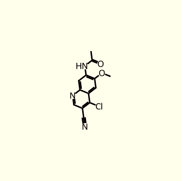 COc1cc2c(Cl)c(C#N)cnc2cc1NC(C)=O